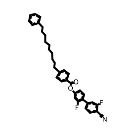 N#Cc1ccc(-c2ccc(OC(=O)c3ccc(CCCCCCCCCCc4ccccc4)cc3)cc2F)cc1F